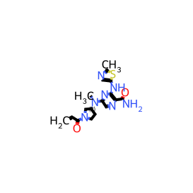 C=CC(=O)N1CC[C@@H](N(C)c2cnc(C(N)=O)c(Nc3cnc(C)s3)n2)C1